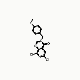 COc1ccc(Cn2cnc3c(Cl)nc(Cl)cc3c2=O)cc1